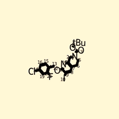 CC(C)(C)OC(=O)N1CCc2cc(I)c(OCc3ccc(Cl)cc3F)nc2C1